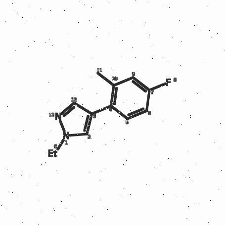 CCn1cc(-c2ccc(F)cc2C)cn1